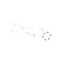 CC1(C)CC2COC(Sc3ccccc3)CC2O1